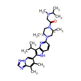 Cc1c(-c2[nH]c3ccc(N4C[C@H](C)N(C(=O)CN(C)C(C)C)C[C@H]4C)nc3c2C(C)C)cn2ncnc2c1C